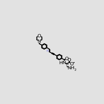 COC(=O)[C@H](CN)NC(=O)c1ccc(C#C/C=C/c2ccc(CN3CCOCC3)cc2)cc1